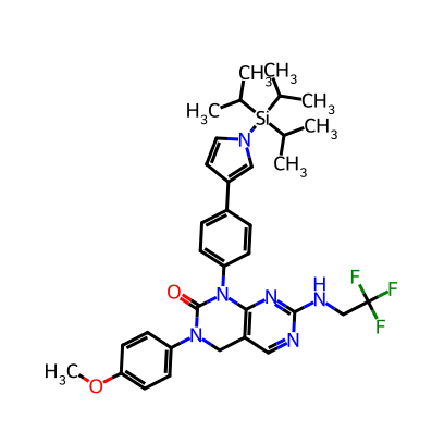 COc1ccc(N2Cc3cnc(NCC(F)(F)F)nc3N(c3ccc(-c4ccn([Si](C(C)C)(C(C)C)C(C)C)c4)cc3)C2=O)cc1